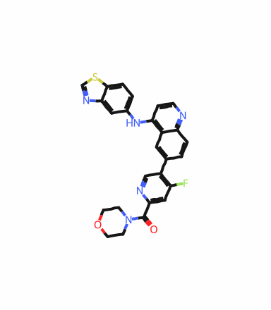 O=C(c1cc(F)c(-c2ccc3nccc(Nc4ccc5scnc5c4)c3c2)cn1)N1CCOCC1